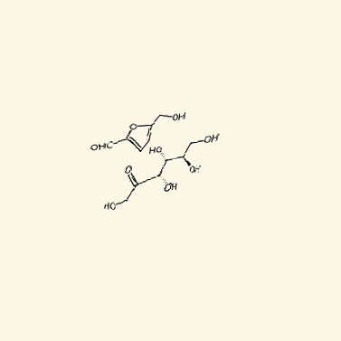 O=C(CO)[C@@H](O)[C@H](O)[C@H](O)CO.O=Cc1ccc(CO)o1